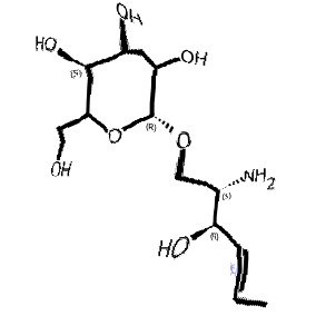 C/C=C/[C@@H](O)[C@@H](N)CO[C@@H]1OC(CO)[C@@H](O)C(O)C1O